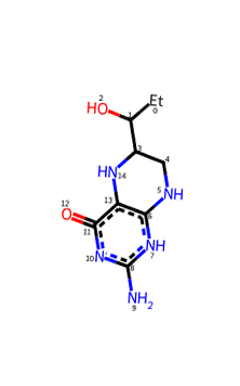 CCC(O)C1CNc2[nH]c(N)nc(=O)c2N1